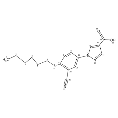 CCCCCCSc1ccc(-n2cc(C(=O)O)cn2)cc1C#N